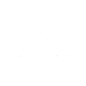 C=C(/N=C(\N=C(/N)c1ccc2c(c1)c1cc(-c3nc(-c4ccccc4)nc(-c4ccccc4)n3)ccc1n2-c1ccc(C)cc1)c1ccccc1)c1ccccc1